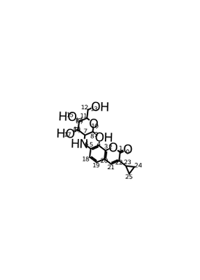 O=c1oc2cc(NC3C(O)OC(CO)[C@@H](O)[C@@H]3O)ccc2cc1C1CC1